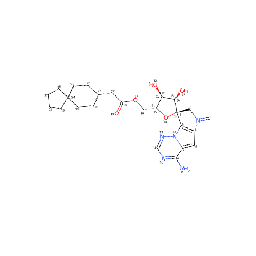 C=NC[C@@]1(c2ccc3c(N)ncnn23)O[C@H](COC(=O)CC2CCC3(CCCC3)CC2)[C@@H](O)[C@H]1O